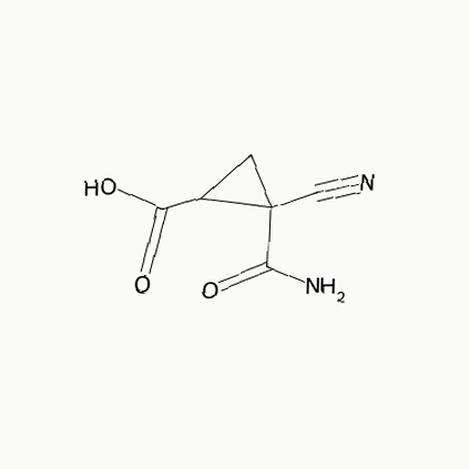 N#CC1(C(N)=O)CC1C(=O)O